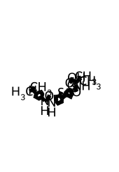 CC(C)[C@H](NS(=O)(=O)c1ccc2c(c1)sc1cc(NC(=O)Nc3ccc(N(C)C)cc3)ccc12)C(=O)O